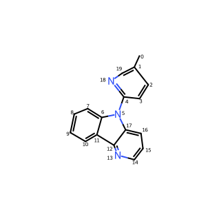 Cc1ccc(-n2c3ccccc3c3ncccc32)nc1